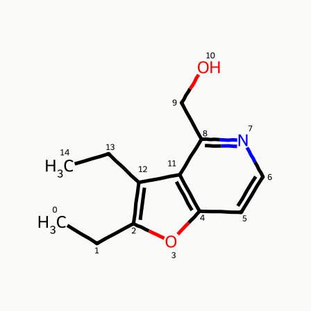 CCc1oc2ccnc(CO)c2c1CC